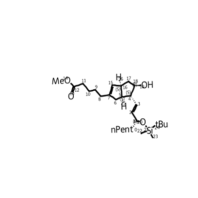 CCCCC[C@H](C=C[C@@H]1[C@H]2CC(CCCCC(=O)OC)=C[C@H]2C[C@H]1O)O[Si](C)(C)C(C)(C)C